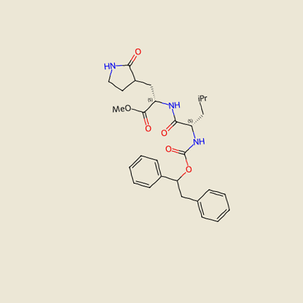 COC(=O)[C@H](CC1CCNC1=O)NC(=O)[C@H](CC(C)C)NC(=O)OC(Cc1ccccc1)c1ccccc1